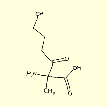 CC(N)(C(=O)O)C(=O)CCCO